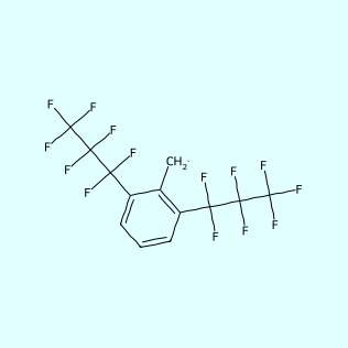 [CH2]c1c(C(F)(F)C(F)(F)C(F)(F)F)cccc1C(F)(F)C(F)(F)C(F)(F)F